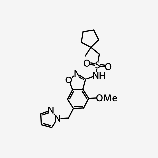 COc1cc(Cn2cccn2)cc2onc(NS(=O)(=O)CC3(C)CCCC3)c12